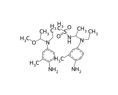 CCN(c1ccc(N)c(C)c1)C(C)NS(C)(=O)=O.CCN(c1ccc(N)c(C)c1)C(C)OC